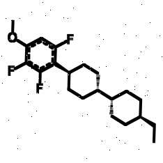 CC[C@H]1CC[C@H]([C@H]2CC[C@H](c3c(F)cc(OC)c(F)c3F)CC2)CC1